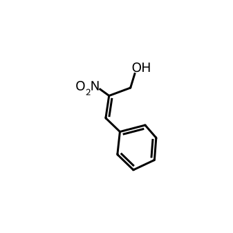 O=[N+]([O-])/C(=C/c1ccccc1)CO